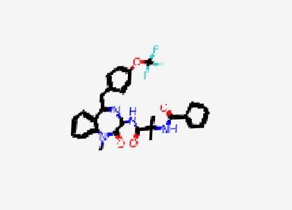 CN1C(=O)C(NC(=O)C(C)(C)NC(=O)c2ccccc2)N=C(Cc2ccc(OC(F)(F)F)cc2)c2ccccc21